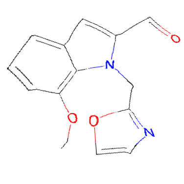 COc1cccc2cc(C=O)n(Cc3ncco3)c12